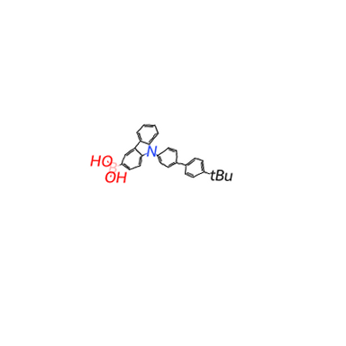 CC(C)(C)c1ccc(-c2ccc(-n3c4ccccc4c4cc(B(O)O)ccc43)cc2)cc1